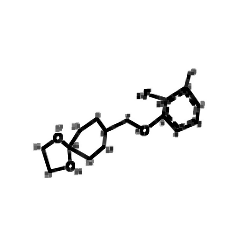 Cc1cccc(OCC2CCC3(CC2)OCCO3)c1F